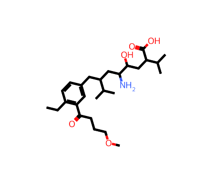 CCc1ccc(CC(CC(N)C(O)CC(C(=O)O)C(C)C)C(C)C)cc1C(=O)CCCOC